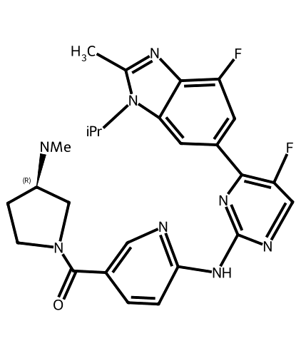 CN[C@@H]1CCN(C(=O)c2ccc(Nc3ncc(F)c(-c4cc(F)c5nc(C)n(C(C)C)c5c4)n3)nc2)C1